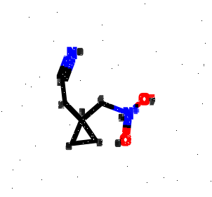 N#CCC1(C[N+](=O)[O-])CC1